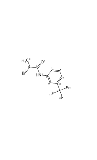 CC(Br)C(=O)Nc1cccc(C(F)(F)F)c1